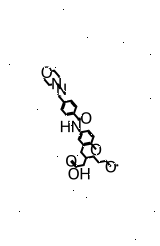 COCCC1Oc2ccc(NC(=O)c3ccc(C=NN4CCOCC4)cc3)cc2CC1CC(=O)O